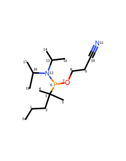 CCCC(C)(C)P(OCCC#N)N(C(C)C)C(C)C